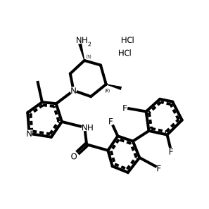 Cc1cncc(NC(=O)c2ccc(F)c(-c3c(F)cccc3F)c2F)c1N1C[C@H](C)C[C@H](N)C1.Cl.Cl